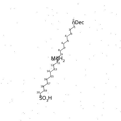 CCCCCCCCCCCCCCCCCCCCCCCCCCCCCCS(=O)(=O)O.[MgH2]